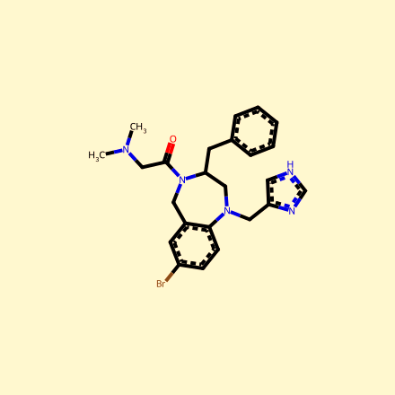 CN(C)CC(=O)N1Cc2cc(Br)ccc2N(Cc2c[nH]cn2)CC1Cc1ccccc1